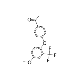 COc1ccc(Oc2ccc(C(C)=O)cc2)c(C(F)(F)F)c1